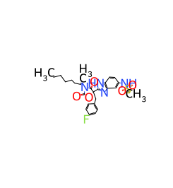 CCCCCCC(C)N1C(=O)OC(Cc2ccc(F)cc2)(c2nc3cc(NS(C)(=O)=O)ccc3[nH]2)C1=O